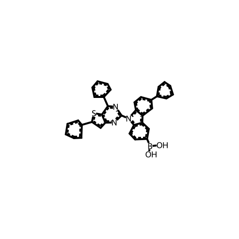 OB(O)c1ccc2c(c1)c1cc(-c3ccccc3)ccc1n2-c1nc(-c2ccccc2)c2sc(-c3ccccc3)cc2n1